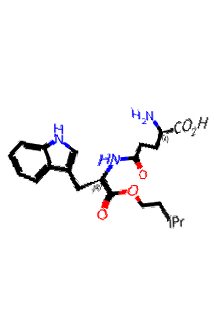 CC(C)CCOC(=O)[C@@H](Cc1c[nH]c2ccccc12)NC(=O)CC[C@@H](N)C(=O)O